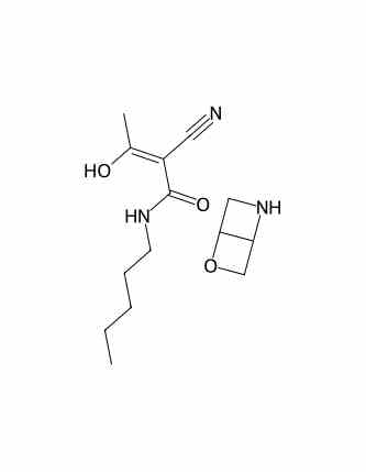 C1OC2CNC12.CCCCCNC(=O)C(C#N)=C(C)O